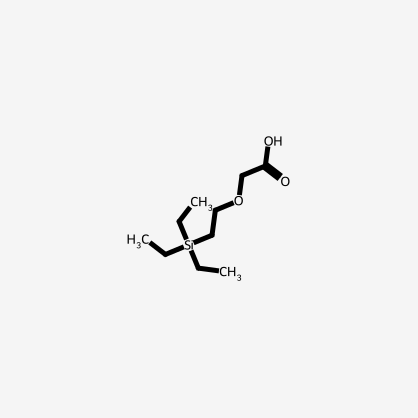 CC[Si](CC)(CC)CCOCC(=O)O